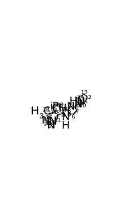 Cc1c(-c2[nH]c3ccc(N4CC5CCC(C4)N5)nc3c2C(C)C)cn2ncnc2c1C